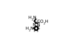 NCCc1nc2c(N)cccc2nc1C(=O)O